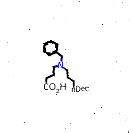 CCCCCCCCCCCCCN(CCCC(=O)O)Cc1ccccc1